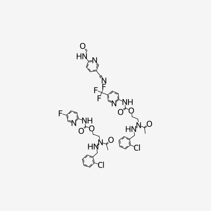 CC(=O)N(CCOC(=O)Nc1ccc(C(F)(F)F)cn1)NCc1ccccc1Cl.CC(=O)N(CCOC(=O)Nc1ccc(F)cn1)NCc1ccccc1Cl.N#Cc1ccc(NC=O)nc1